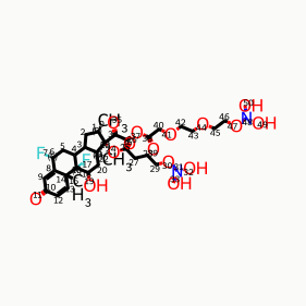 C[C@@H]1CC2C3C[C@H](F)C4=CC(=O)C=CC4(C)[C@@]3(F)C(O)C[C@]2(C)[C@@]1(OC(=O)CCCON(O)O)C(=O)COC(=O)COCCOCCON(O)O